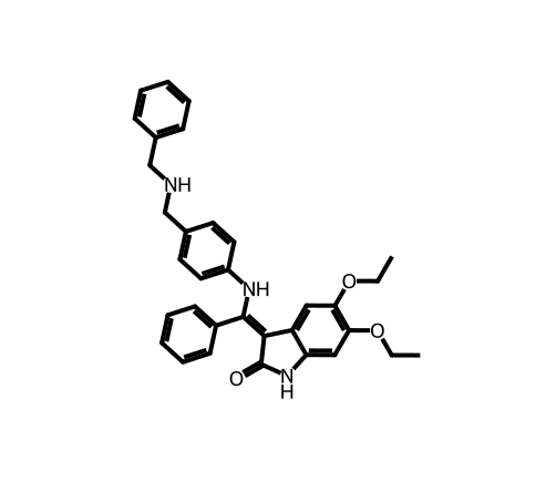 CCOc1cc2c(cc1OCC)C(=C(Nc1ccc(CNCc3ccccc3)cc1)c1ccccc1)C(=O)N2